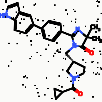 CC1(C)N=C(c2ccc(-c3ccc4[nH]ccc4c3)cc2)N(C[C@@H]2CCN(C(=O)C3CC3)C2)C1=O